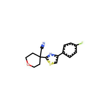 N#CC1(c2nc(-c3ccc(F)cc3)cs2)CCOCC1